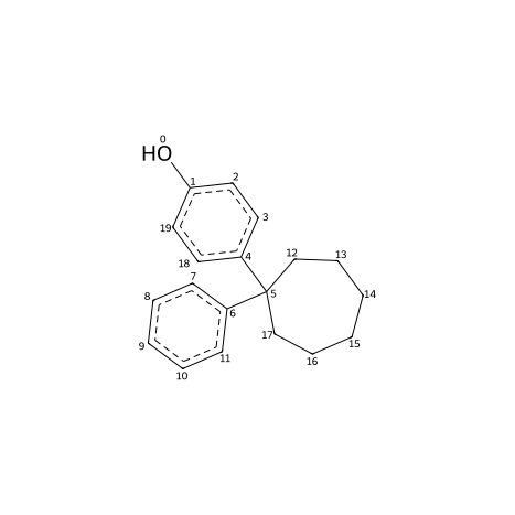 Oc1ccc(C2(c3ccccc3)CCCCCC2)cc1